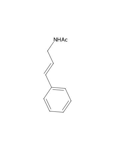 CC(=O)NC/C=C/c1ccccc1